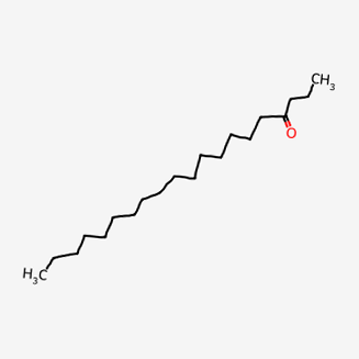 CCCCCCCCCCCCCCCCC(=O)CCC